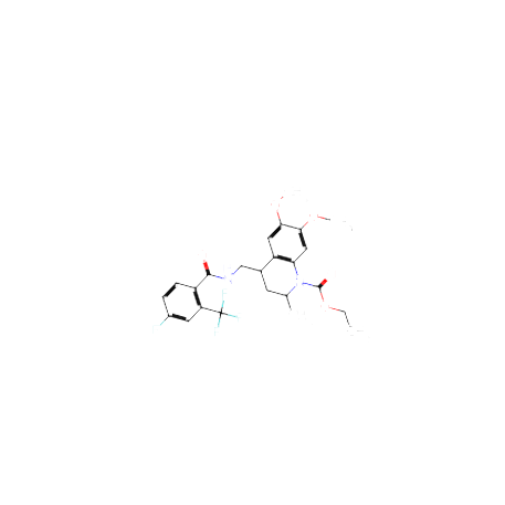 CCOC(=O)N1c2cc(OC)c(OC)cc2C(CNC(=O)c2ccc(F)cc2C(F)(F)F)CC1C